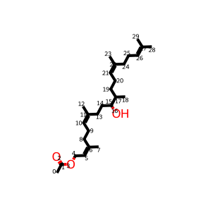 CC(=O)OCC=C(C)CCC=C(C)CCC(O)C(C)CCC=C(C)CCC=C(C)C